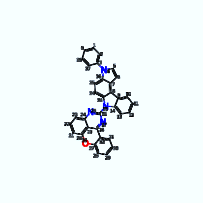 c1ccc(-n2ccc3c4c5ccccc5n(-c5nc6c7c(cccc7n5)Oc5ccccc5-6)c4ccc32)cc1